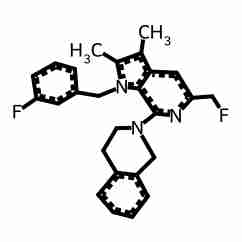 Cc1c(C)n(Cc2cccc(F)c2)c2c(N3CCc4ccccc4C3)nc(CF)cc12